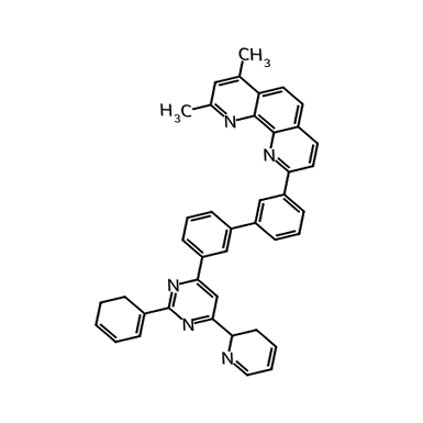 Cc1cc(C)c2ccc3ccc(-c4cccc(-c5cccc(-c6cc(C7CC=CC=N7)nc(C7=CC=CCC7)n6)c5)c4)nc3c2n1